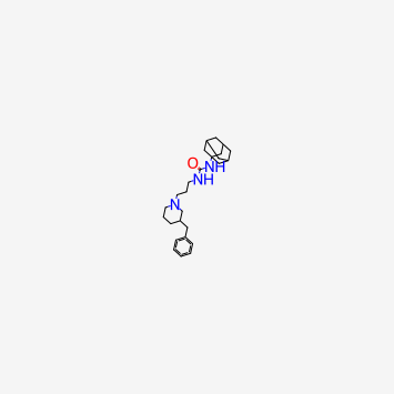 O=C(NCCCN1CCCC(Cc2ccccc2)C1)NC12CC3CC(CC(C3)C1)C2